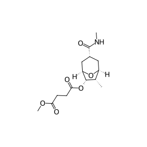 CNC(=O)[C@@H]1C[C@@H]2O[C@H](C1)[C@@H](OC(=O)CCC(=O)OC)[C@H]2C